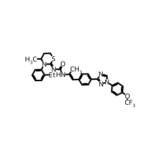 CCc1ccccc1N1/C(=N/C(=O)N/C(C)=C/c2ccc(-c3ncn(-c4ccc(OC(F)(F)F)cc4)n3)cc2)SCCC1C